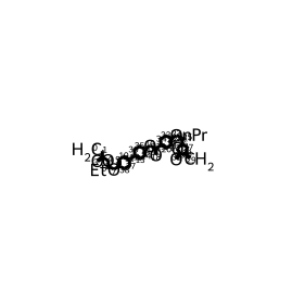 C=CC(=O)OC(CC)OC1=CC=C(C2=CC=C(OC(=O)C3=CC=C(OC(CCC)C4CC(=C)C(=O)O4)CC3)CC2)CC1